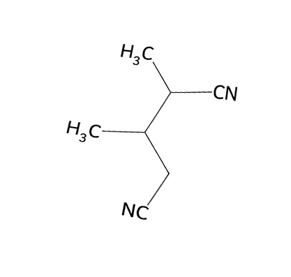 CC(C#N)C(C)CC#N